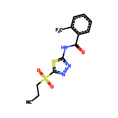 N#CCCS(=O)(=O)c1nnc(NC(=O)c2ccccc2C(F)(F)F)s1